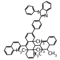 CC1C2C=CC=CC2=CC(C2C3(C)C=C(c4ccc(-c5nc6ccccc6n5-c5ccccc5)cc4)C=CC3=C(c3ccc4ccccc4c3)C3(C)CC=CCC23C)C1C